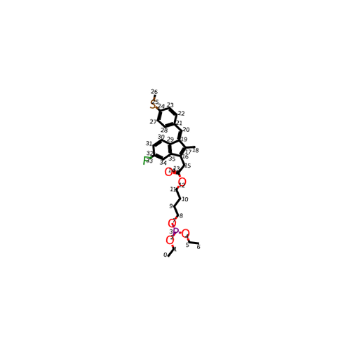 CCOP(OCC)OCCCCOC(=O)CC1=C(C)/C(=C/c2ccc(SC)cc2)c2ccc(F)cc21